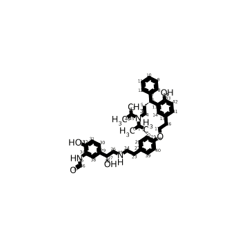 CC(C)N(CC[C@H](c1ccccc1)c1cc(CCOc2ccc(CCNC[C@H](O)c3ccc(O)c(NC=O)c3)cc2)ccc1O)C(C)C